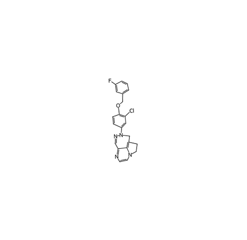 Fc1cccc(COc2ccc(N3CC4=C5C(=NC=CN5CC4)C=N3)cc2Cl)c1